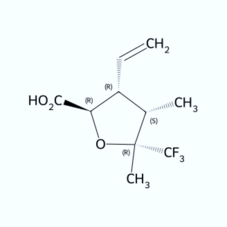 C=C[C@H]1[C@H](C(=O)O)O[C@@](C)(C(F)(F)F)[C@H]1C